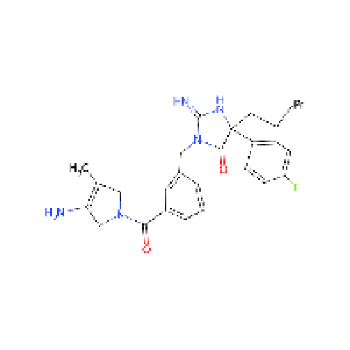 CC1=C(N)CN(C(=O)c2cccc(CN3C(=N)NC(CCC(C)C)(c4ccc(F)cc4)C3=O)c2)C1